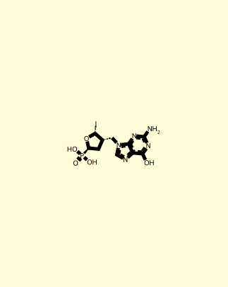 Nc1nc(O)c2ncn(C[C@@H]3C[C@@H](P(=O)(O)O)O[C@@H]3I)c2n1